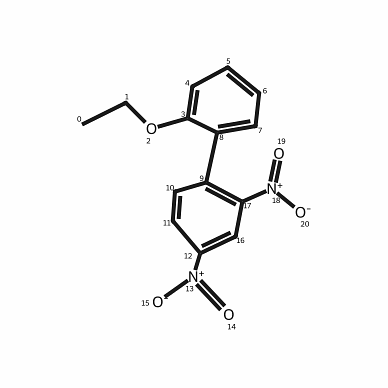 CCOc1ccccc1-c1ccc([N+](=O)[O-])cc1[N+](=O)[O-]